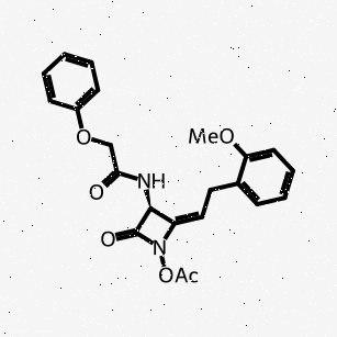 COc1ccccc1CC=C1[C@H](NC(=O)COc2ccccc2)C(=O)N1OC(C)=O